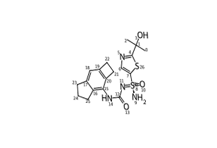 CC(C)(O)c1ncc([S@](N)(=O)=NC(=O)Nc2c3c(cc4c2CC4)CCC3)s1